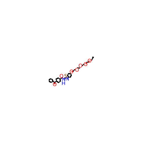 C#CCOCCOCCOCCOCCOc1ccc2nc(NC(=O)c3ccc(C(=O)c4ccccc4)cc3)sc2c1